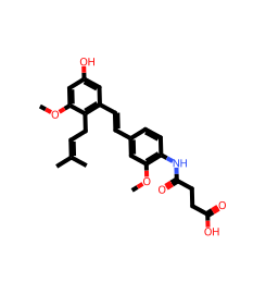 COc1cc(C=Cc2cc(O)cc(OC)c2CC=C(C)C)ccc1NC(=O)CCC(=O)O